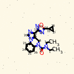 CCN(CC)C(=O)N1Cc2c(-c3noc(C4CC4)n3)ncn2-c2ccccc21